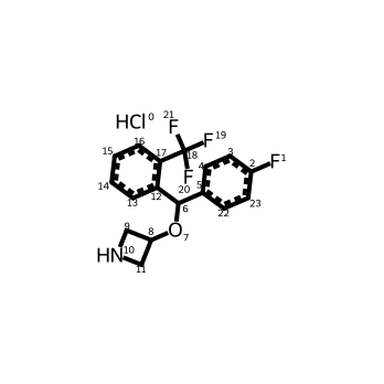 Cl.Fc1ccc(C(OC2CNC2)c2ccccc2C(F)(F)F)cc1